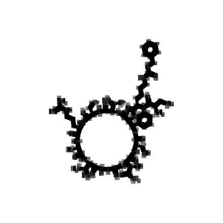 CC[C@H](C)C1NC(=O)[C@@H](CCCNC(=N)N)NC(=O)[C@H](CC(C)C)NC(=O)[C@H]([C@H](O)C(C)C)NC(=O)[C@@H](NC(=O)[C@H](CCCCNC(=O)OCc2ccccc2)NC(=O)[C@H](N)CC(C)(C)C)[C@@H](c2ccccc2)OC(=O)[C@H](CO)NC(=O)[C@H]([C@H](O)C(N)=O)NC(=O)CNC(=O)[C@H]([C@H](C)O)NC1=O